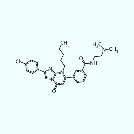 CCCCCn1c(-c2cccc(C(=O)NCCN(C)C)c2)cc(=O)n2cc(-c3ccc(Cl)cc3)nc12